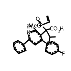 C=CP(=O)(OC)C(C(=O)O)(c1c(-c2ccc(F)cc2)cc(-c2ccccc2)nc1C(C)C)C(C)O